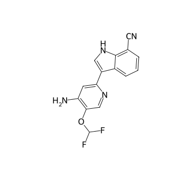 N#Cc1cccc2c(-c3cc(N)c(OC(F)F)cn3)c[nH]c12